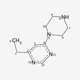 CCc1cc(N2CCNCC2)ncn1